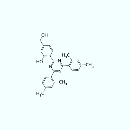 Cc1ccc(-c2nc(-c3ccc(C)cc3C)nc(-c3ccc(CO)cc3O)n2)c(C)c1